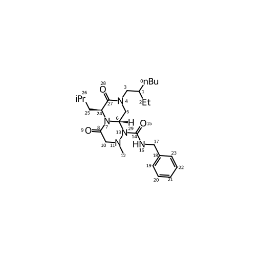 CCCCC(CC)CN1C[C@H]2N(C(=O)CN(C)N2C(=O)NCc2ccccc2)[C@@H](CC(C)C)C1=O